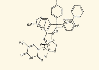 COc1ccc(C(OC[C@@]23CO[C@@H]([C@H](n4cc(C)c(=O)[nH]c4=O)O2)[C@@H]3OP(SCC[SH]=C(O)c2ccccc2)N2CCCC2)(c2ccccc2)c2ccc(OC)cc2)cc1